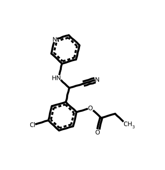 CCC(=O)Oc1ccc(Cl)cc1C(C#N)Nc1cccnc1